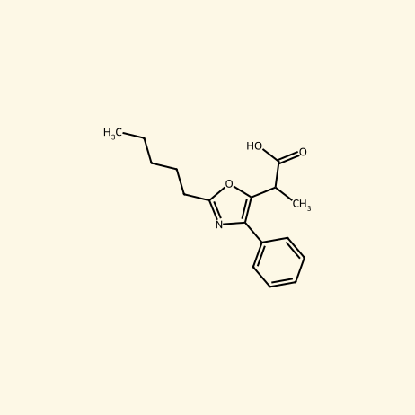 CCCCCc1nc(-c2ccccc2)c(C(C)C(=O)O)o1